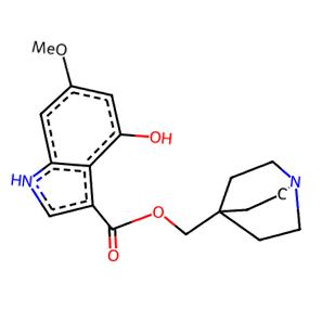 COc1cc(O)c2c(C(=O)OCC34CCN(CC3)CC4)c[nH]c2c1